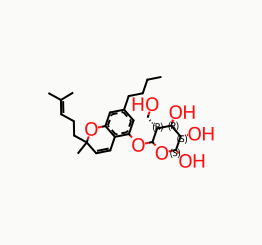 CCCCc1cc(OC2O[C@H](O)[C@@H](O)[C@H](O)[C@H]2CO)c2c(c1)OC(C)(CCC=C(C)C)C=C2